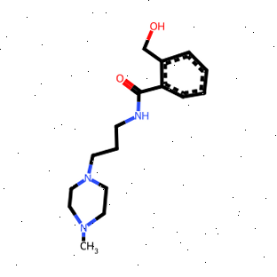 CN1CCN(CCCNC(=O)c2ccccc2CO)CC1